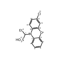 CCC(N1c2ccccc2Oc2cc(Cl)ccc21)S(=O)(=O)O